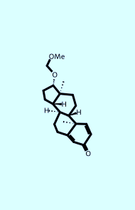 COCO[C@H]1CC[C@H]2[C@@H]3CCC4=CC(=O)C=C[C@]4(C)[C@H]3CC[C@]12C